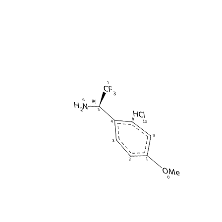 COc1ccc([C@@H](N)C(F)(F)F)cc1.Cl